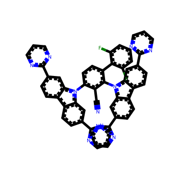 N#Cc1c(-n2c3cc(-c4ncccn4)ccc3c3ccc(-c4ncccn4)cc32)ccc(-c2c(F)cccc2F)c1-n1c2cc(-c3ncccn3)ccc2c2ccc(-c3ncccn3)cc21